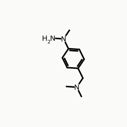 CN(C)Cc1ccc(N(C)N)cc1